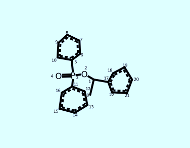 CC(OP(=O)(c1ccccc1)c1ccccc1)c1ccccc1